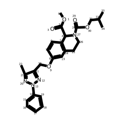 COC(=O)C1c2ccc(OCc3nn(-c4ccccc4)nc3C)cc2CCN1C(=O)OCC(C)C